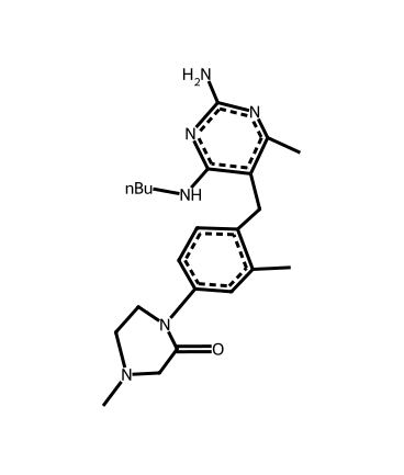 CCCCNc1nc(N)nc(C)c1Cc1ccc(N2CCN(C)CC2=O)cc1C